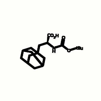 CC(C)(C)OC(=O)N[C@@H](CC12CC3CC(CC(C3)C1)C2)C(=O)O